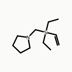 C=C[Si](CC)(CC)CN1CCCC1